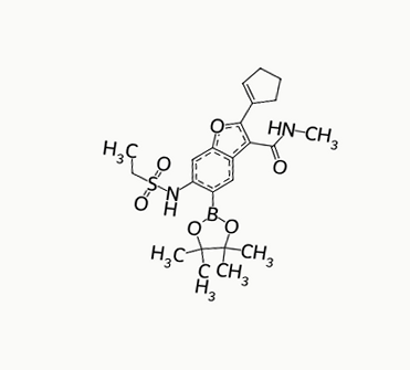 CCS(=O)(=O)Nc1cc2oc(C3=CCCC3)c(C(=O)NC)c2cc1B1OC(C)(C)C(C)(C)O1